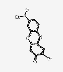 CCN(CC)c1ccc2nc3cc(Br)c(=O)cc-3oc2c1